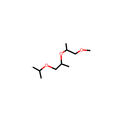 [CH2]C(C)OCC(C)OC(C)COC